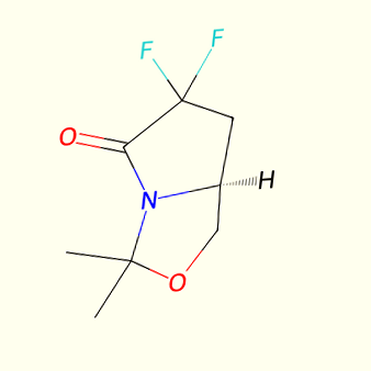 CC1(C)OC[C@@H]2CC(F)(F)C(=O)N21